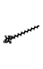 CCCCCCCCCCCCCCCCCCC(N)(C(=O)O)C(C)C